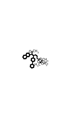 CC1Oc2cc3ccccc3cc2/C1=C(/C=C\CB1OC(C)(C)C(C)(C)O1)c1ccc(-c2ccccc2)cc1